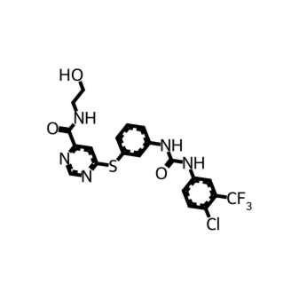 O=C(Nc1cccc(Sc2cc(C(=O)NCCO)ncn2)c1)Nc1ccc(Cl)c(C(F)(F)F)c1